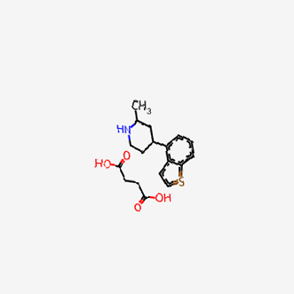 CC1CC(c2cccc3sccc23)CCN1.O=C(O)CCC(=O)O